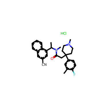 Cc1cc(C2(CC(=O)N(C)C(C)c3cc(C#N)cc4ccccc34)CCN(C)CC2)ccc1F.Cl